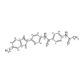 CC(=O)Nc1ccc(C(=O)Nc2ccc(-c3nc4ccc(C)cc4s3)cc2)cc1